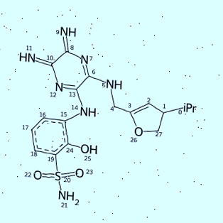 CC(C)C1C=C(CNC2=NC(=N)C(=N)N=C2Nc2cccc(S(N)(=O)=O)c2O)OC1